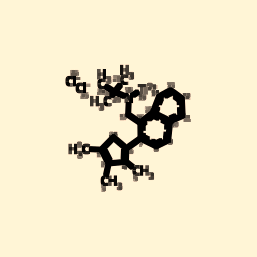 CC1=C(C)C(C)=C(c2ccc3ccccc3c2C[N]([Ti+2])C(C)(C)C)C1.[Cl-].[Cl-]